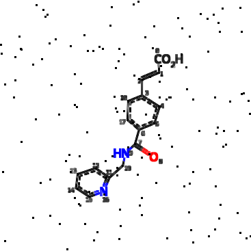 O=C(O)C=Cc1ccc(C(=O)NCc2ccccn2)cc1